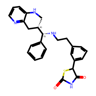 O=C1NC(=O)C(c2cccc(CCN[C@H](c3ccccc3)[C@H]3CNc4cccnc4C3)c2)S1